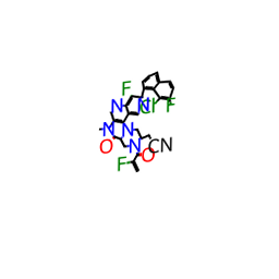 C=C(F)C(=O)N1CC2C(=O)N(C)c3cnc4c(F)c(-c5cccc6ccc(F)c(Cl)c56)ncc4c3N2CC1CC#N